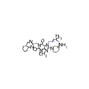 C/C=C/Cn1c(N2CCC[C@H](N)C2)nc2c1c(=O)n(Cc1ncc3ccccc3n1)c(=O)n2C